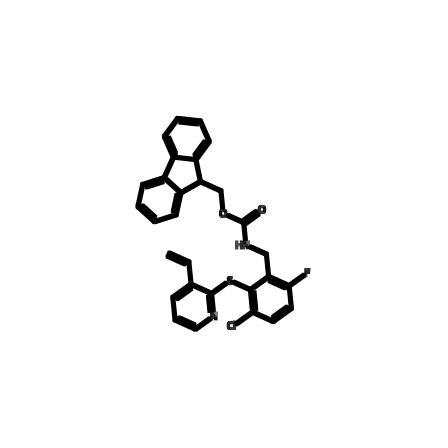 C=Cc1cccnc1Sc1c(Cl)ccc(F)c1CNC(=O)OCC1c2ccccc2-c2ccccc21